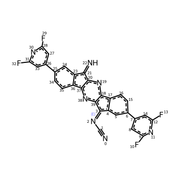 N#C/N=c1\c2cc(-c3cc(F)nc(F)c3)ccc2c2nc3c(=N)c4cc(-c5cc(F)nc(F)c5)ccc4c3nc12